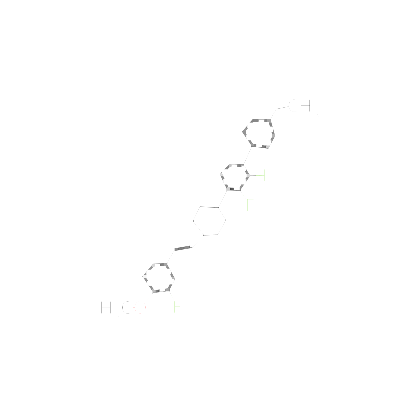 CCc1ccc(-c2ccc(C3CCC(/C=C/c4ccc(OC)c(F)c4)CC3)c(F)c2F)cc1